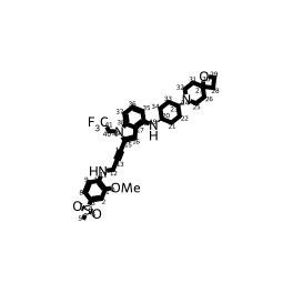 COc1cc(S(C)(=O)=O)ccc1NCC#Cc1cc2c(N[C@H]3CC[C@@H](N4CCC5(CCO5)CC4)CC3)cccc2n1CC(F)(F)F